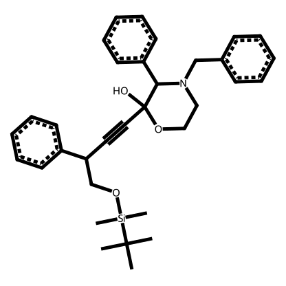 CC(C)(C)[Si](C)(C)OCC(C#CC1(O)OCCN(Cc2ccccc2)C1c1ccccc1)c1ccccc1